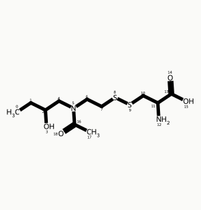 CCC(O)CN(CCSSCC(N)C(=O)O)C(C)=O